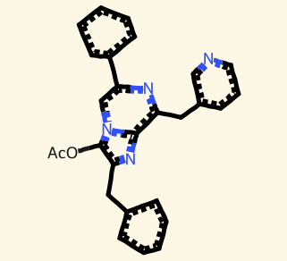 CC(=O)Oc1c(Cc2ccccc2)nc2c(Cc3cccnc3)nc(-c3ccccc3)cn12